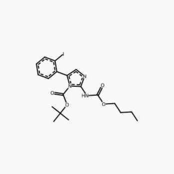 CCCCOC(=O)Nc1ncc(-c2ccccc2I)n1C(=O)OC(C)(C)C